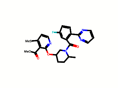 COC(=O)c1c(SC)ccnc1OC1CCC(C)N(C(=O)c2cc(F)ccc2-c2ncccn2)C1